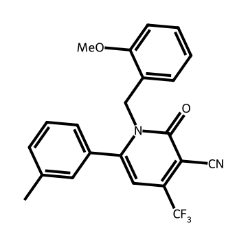 COc1ccccc1Cn1c(-c2cccc(C)c2)cc(C(F)(F)F)c(C#N)c1=O